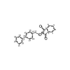 O=C1c2ccccc2C(=O)N1OCc1ccc(-c2ccccc2)cc1